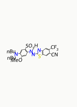 CCCCN(CCCC)c1cc(S(=O)(=O)O)c(/N=N/c2nc3cc(C(F)(F)F)c(C#N)cc3s2)cc1OC